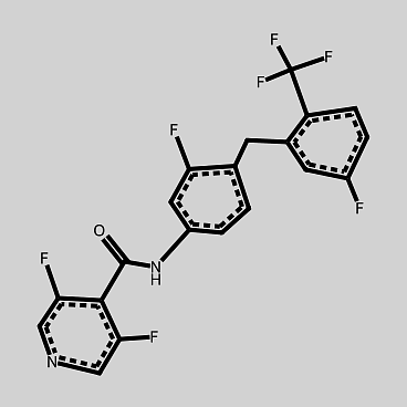 O=C(Nc1ccc(Cc2cc(F)ccc2C(F)(F)F)c(F)c1)c1c(F)cncc1F